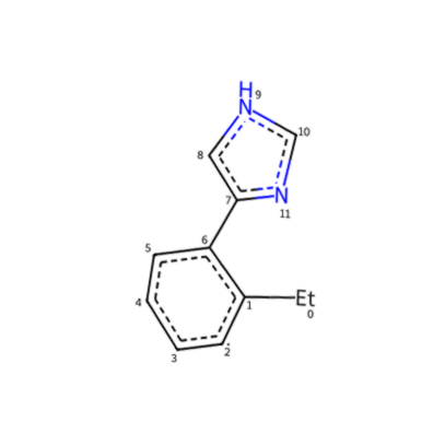 CCc1[c]cccc1-c1c[nH]cn1